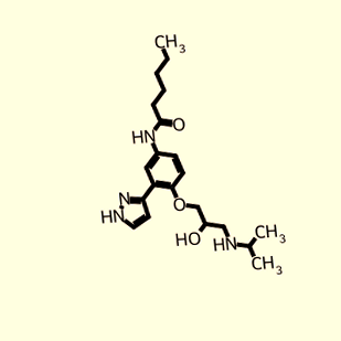 CCCCCC(=O)Nc1ccc(OCC(O)CNC(C)C)c(-c2cc[nH]n2)c1